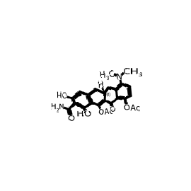 CC(=O)OC1=C2C(=O)c3c(OC(C)=O)ccc(N(C)C)c3C[C@H]2Cc2cc(O)c(C(N)=O)c(O)c21